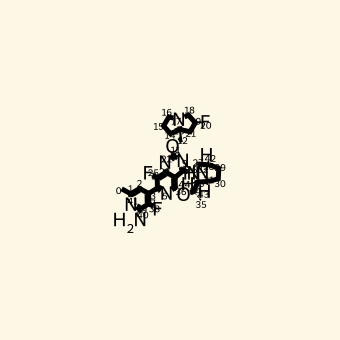 Cc1cc(-c2nc3c4c(nc(OC[C@@]56CCCN5C[C@H](F)C6)nc4c2F)N2C[C@H]4CC[C@H](N4)[C@H]2[C@H](C)O3)c(F)c(N)n1